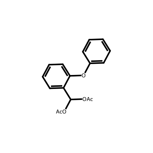 CC(=O)OC(OC(C)=O)c1ccccc1Oc1ccccc1